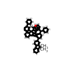 CC1(C)c2ccccc2-c2ccc(-c3ccc(C(c4ccccc4)c4ccccc4-c4cccc5c4C4(c6ccccc6-5)c5ccccc5-n5c6ccccc6c6cccc4c65)cc3)cc21